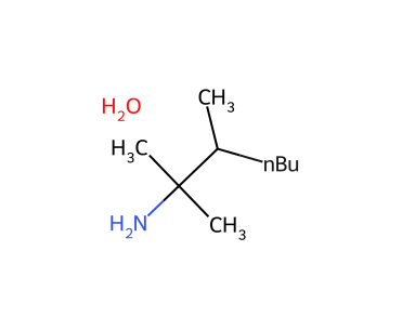 CCCCC(C)C(C)(C)N.O